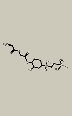 C=CC(=O)NCC(=O)OC1CCC([Si](C)(C)CC[Si](C)(C)C)CC1O